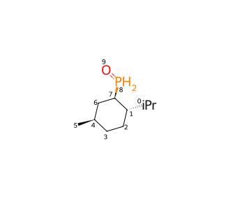 CC(C)[C@@H]1CC[C@@H](C)C[C@H]1[PH2]=O